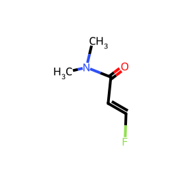 CN(C)C(=O)C=CF